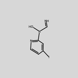 N=CN(O)c1cc(I)ccn1